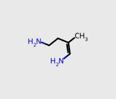 CC(=CN)CCN